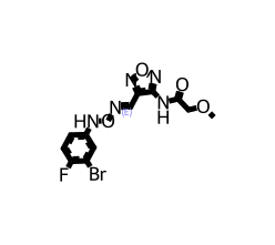 COCC(=O)Nc1nonc1/C=N/ONc1ccc(F)c(Br)c1